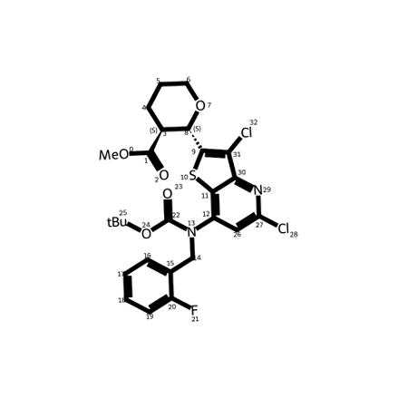 COC(=O)[C@H]1CCCO[C@@H]1c1sc2c(N(Cc3ccccc3F)C(=O)OC(C)(C)C)cc(Cl)nc2c1Cl